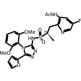 COc1cccc(OC)c1-n1c(NS(=O)(=O)[C@H](C)Cc2ncc(F)cc2NC(C)=O)nnc1-c1ccco1